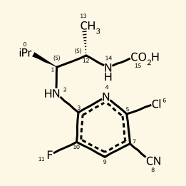 CC(C)[C@H](Nc1nc(Cl)c(C#N)cc1F)[C@H](C)NC(=O)O